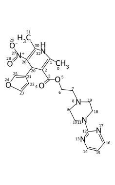 CC1=C(C(=O)OCCN2CCN(c3ncccn3)CC2)C(c2ccoc2)C([N+](=O)[O-])=C(C)N1